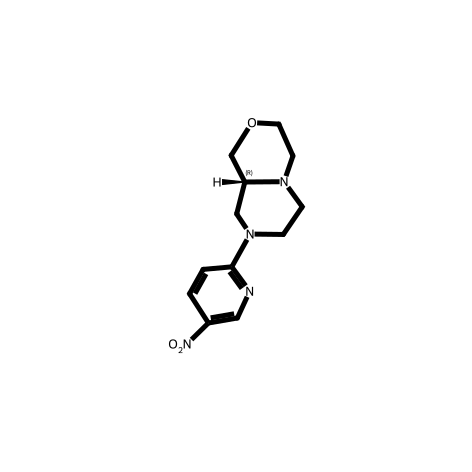 O=[N+]([O-])c1ccc(N2CCN3CCOC[C@H]3C2)nc1